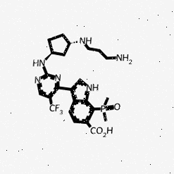 CP(C)(=O)c1c(C(=O)O)ccc2c(-c3nc(N[C@H]4CC[C@H](NCCCN)C4)ncc3C(F)(F)F)c[nH]c12